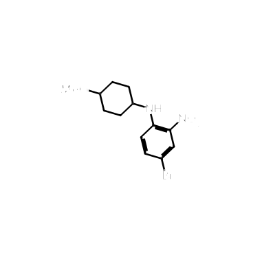 COC1CCC(Nc2ccc(Br)cc2[N+](=O)[O-])CC1